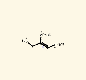 CCCCC/C=C(/CO)CCCCC